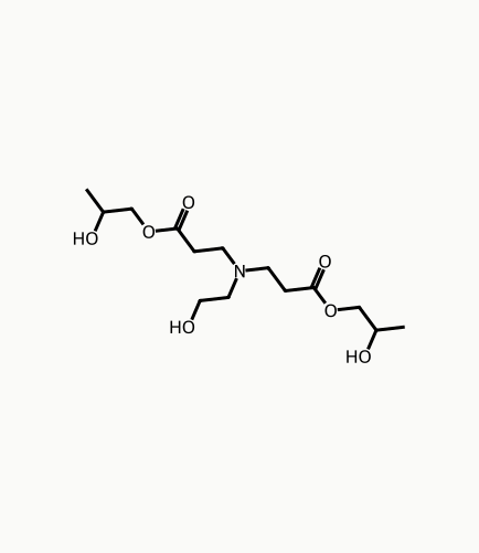 CC(O)COC(=O)CCN(CCO)CCC(=O)OCC(C)O